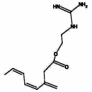 C=C(/C=C\C=C/C)CC(=O)OCCNC(=N)N